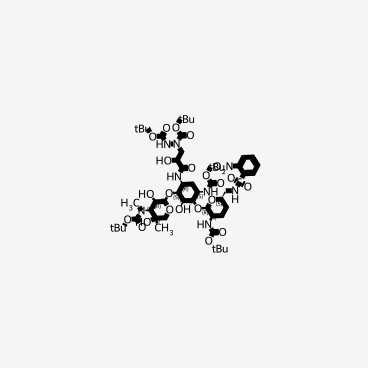 CN(C(=O)OC(C)(C)C)[C@@H]1[C@@H](O)[C@@H](O[C@@H]2[C@@H](O)[C@H](O[C@H]3O[C@H](CNS(=O)(=O)c4ccccc4[N+](=O)[O-])CC[C@H]3NC(=O)OC(C)(C)C)[C@@H](NC(=O)OC(C)(C)C)C[C@H]2NC(=O)C(O)CN(NC(=O)OC(C)(C)C)C(=O)OC(C)(C)C)OC[C@]1(C)O